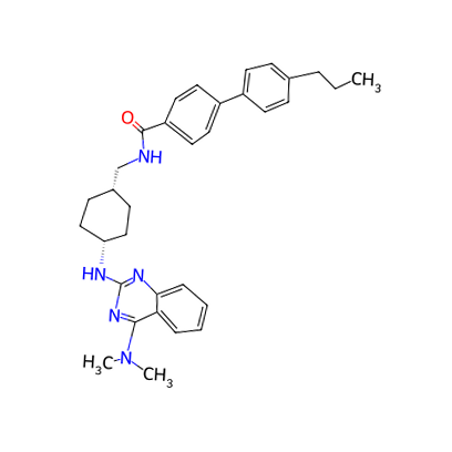 CCCc1ccc(-c2ccc(C(=O)NC[C@H]3CC[C@@H](Nc4nc(N(C)C)c5ccccc5n4)CC3)cc2)cc1